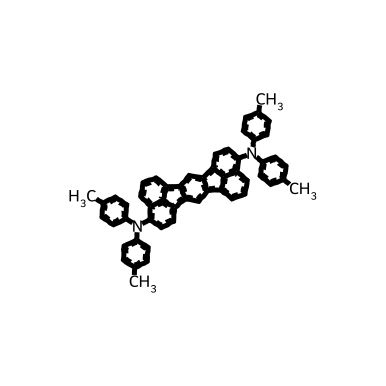 Cc1ccc(N(c2ccc(C)cc2)c2ccc3c4cc5c(cc4c4cccc2c43)c2ccc(N(c3ccc(C)cc3)c3ccc(C)cc3)c3cccc5c32)cc1